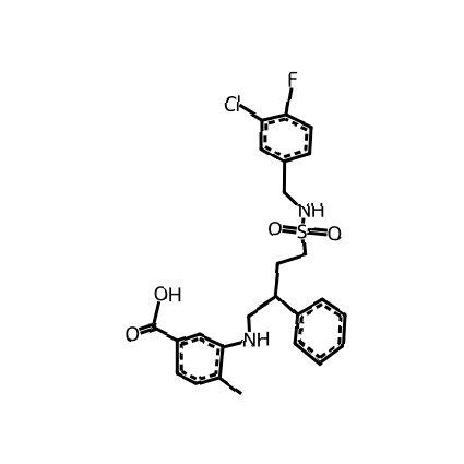 Cc1ccc(C(=O)O)cc1NCC(CCS(=O)(=O)NCc1ccc(F)c(Cl)c1)c1ccccc1